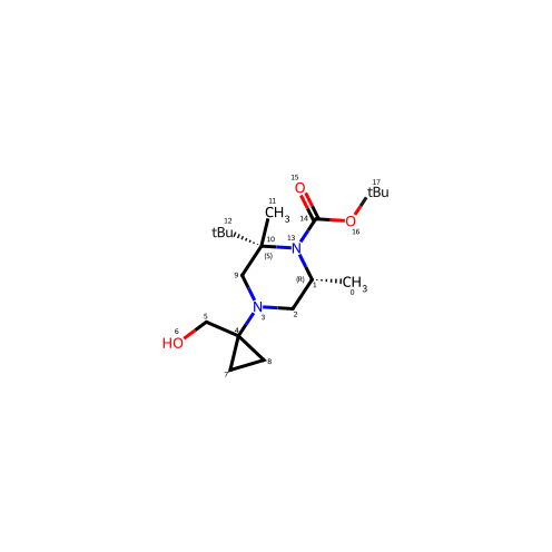 C[C@@H]1CN(C2(CO)CC2)C[C@](C)(C(C)(C)C)N1C(=O)OC(C)(C)C